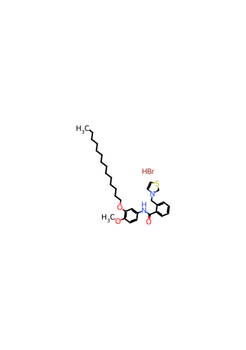 Br.CCCCCCCCCCCCCCOc1cc(NC(=O)c2ccccc2CN2C=CSC2)ccc1OC